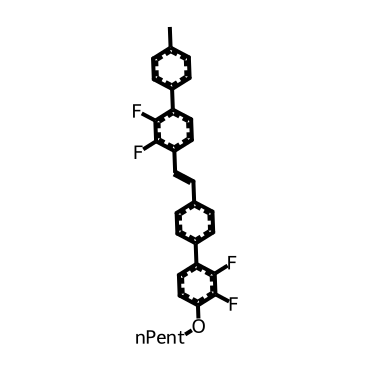 CCCCCOc1ccc(-c2ccc(/C=C/c3ccc(-c4ccc(C)cc4)c(F)c3F)cc2)c(F)c1F